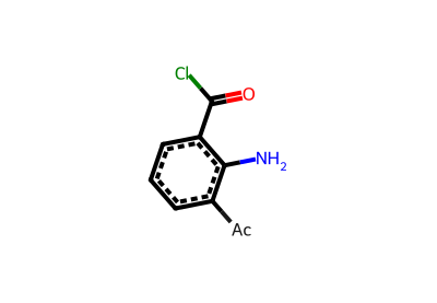 CC(=O)c1cccc(C(=O)Cl)c1N